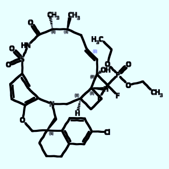 CCOP(=O)(OCC)C(F)(F)[C@]1(O)/C=C/C[C@H](C)[C@@H](C)C(=O)NS(=O)(=O)c2ccc3c(c2)N(C[C@@H]2CC[C@H]21)C[C@@]1(CCCc2cc(Cl)ccc21)CO3